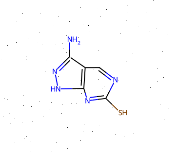 Nc1n[nH]c2nc(S)ncc12